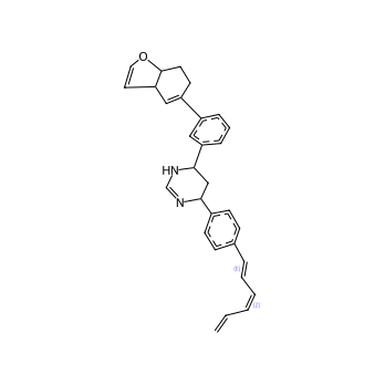 C=C/C=C\C=C\c1ccc(C2CC(c3cccc(C4=CC5C=COC5CC4)c3)NC=N2)cc1